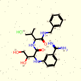 CC(C)C(NC(=O)C(Nc1cccc(C(=N)N)c1)C(O)CO)C(=O)NCc1ccccc1.Cl